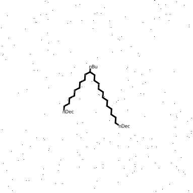 [CH2]CCCC(CCCCCCCCCCCCCCCCCCC)CCCCCCCCCCCCCCCCCCCCCC